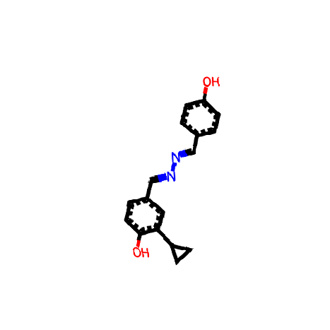 Oc1ccc(/C=N/N=C/c2ccc(O)c(C3CC3)c2)cc1